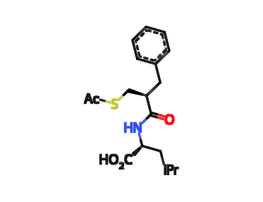 CC(=O)SC[C@@H](Cc1ccccc1)C(=O)N[C@@H](CC(C)C)C(=O)O